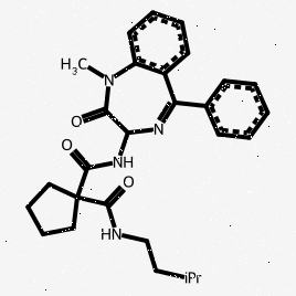 CC(C)CCNC(=O)C1(C(=O)NC2N=C(c3ccccc3)c3ccccc3N(C)C2=O)CCCC1